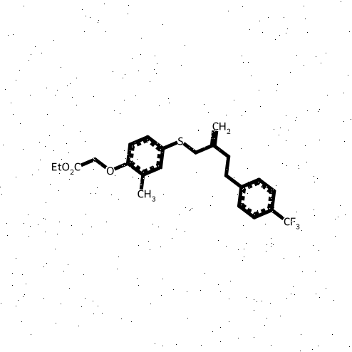 C=C(CCc1ccc(C(F)(F)F)cc1)CSc1ccc(OCC(=O)OCC)c(C)c1